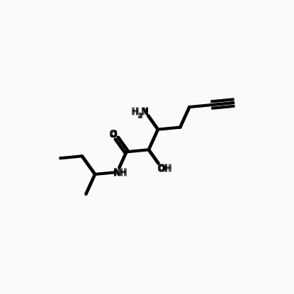 C#CCCC(N)C(O)C(=O)NC(C)CC